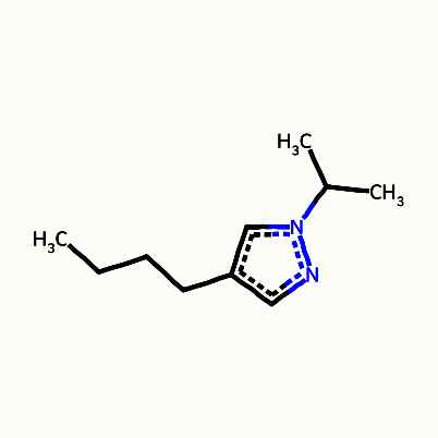 CCCCc1cnn(C(C)C)c1